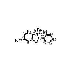 CCCC1(O)c2ncc(C#N)cc2OC1c1ccccc1